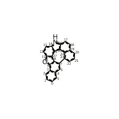 c1ccc2c(c1)cc1c3c2oc2ccc4[nH]c5ccc6cccc-1c6c5c4c23